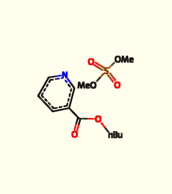 CCCCOC(=O)c1cccnc1.COS(=O)(=O)OC